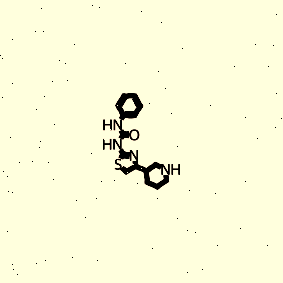 O=C(NC1=NC(C2CCCNC2)CS1)Nc1ccccc1